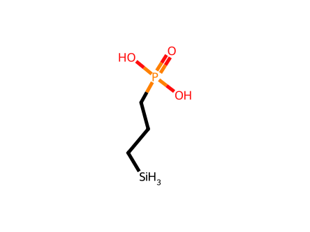 O=P(O)(O)CCC[SiH3]